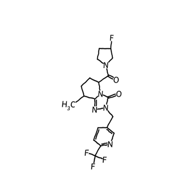 CC1CCC(C(=O)N2CCC(F)C2)n2c1nn(Cc1ccc(C(F)(F)F)nc1)c2=O